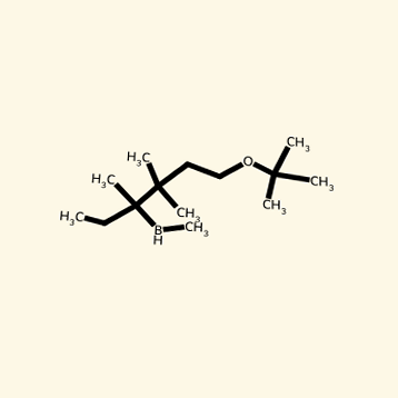 CBC(C)(CC)C(C)(C)CCOC(C)(C)C